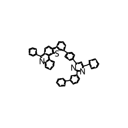 c1ccc(-c2cccc(-c3nc(-c4ccccc4)cc(-c4ccc(-c5cccc6c5sc5c6ccc6c(-c7ccccc7)nc7ccccc7c65)cc4)n3)c2)cc1